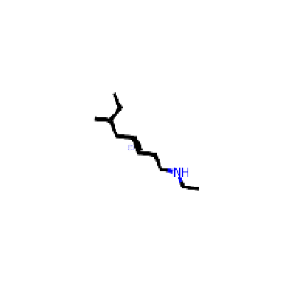 CCNCC/C=C/CC(C)CC